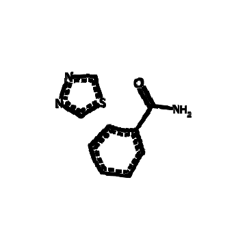 NC(=O)c1ccccc1.c1nncs1